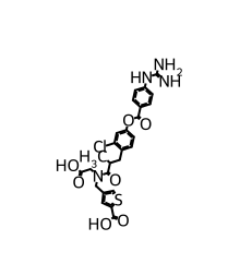 CC(Cc1ccc(OC(=O)c2ccc(NC(=N)N)cc2)cc1Cl)C(=O)N(CC(=O)O)Cc1csc(C(=O)O)c1